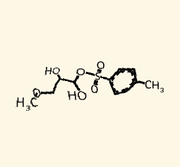 COCC(O)C(O)OS(=O)(=O)c1ccc(C)cc1